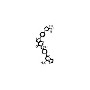 C[C@@H](CC(=O)N1CCC(O)(Cn2cnc3c(cnn3-c3ccc(N4CC[C@@](C)(O)C4)cc3)c2=O)CC1)n1cccn1